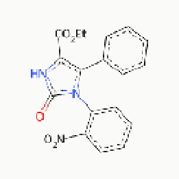 CCOC(=O)c1[nH]c(=O)n(-c2ccccc2[N+](=O)[O-])c1-c1ccccc1